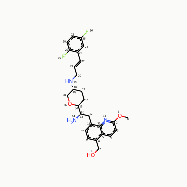 COc1ccc2c(CO)ccc(C[C@@H](N)[C@@H]3CC[C@@H](NCC=Cc4cc(F)ccc4F)CO3)c2n1